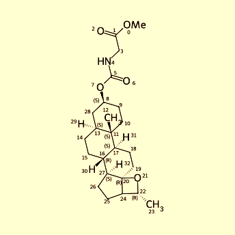 COC(=O)CNC(=O)O[C@H]1CC[C@@]2(C)[C@@H](CC[C@@H]3[C@@H]2CC[C@]24O[C@H](C)C2CC[C@@H]34)C1